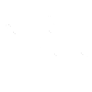 C#CC(=O)N(c1ccc(NN)c(C)c1)C(C(=O)NC1CCCC1)C1=CC(N)=CCC1